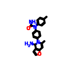 CC1=Cc2occc2C(N)N1c1ccc(N(C(N)=O)c2ccc(C)cc2)cc1